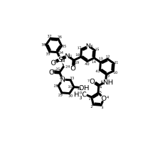 Cc1ccoc1C(=O)Nc1cccc(-c2cncc(C(=O)N=[S@](=O)(CC(=O)N3CCCC(O)C3)c3ccccc3)c2)c1